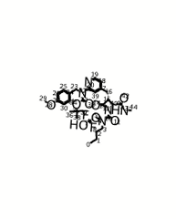 CCCCN(OC(O)(F)F)C(=O)N1C(=O)[C@H](Cc2ccnc(N(Cc3ccc(OC)cc3)C(=O)OC(C)(C)C)c2)[C@H]1C(=O)NC